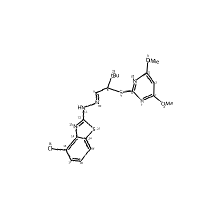 COc1cc(OC)nc(SC(C=NNc2nc3c(Cl)cccc3s2)C(C)(C)C)n1